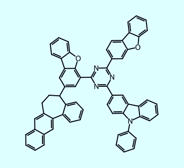 c1ccc(-n2c3ccccc3c3cc(-c4nc(-c5ccc6c(c5)oc5ccccc56)nc(-c5cc(C6CCc7cc8ccccc8cc7-c7ccccc76)cc6c5oc5ccccc56)n4)ccc32)cc1